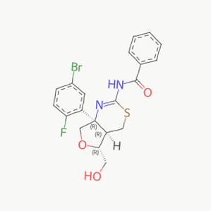 O=C(NC1=N[C@]2(c3cc(Br)ccc3F)CO[C@@H](CO)[C@@H]2CS1)c1ccccc1